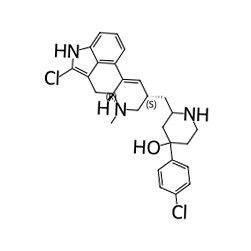 CN1C[C@@H](CC2CC(O)(c3ccc(Cl)cc3)CCN2)C=C2c3cccc4[nH]c(Cl)c(c34)C[C@H]21